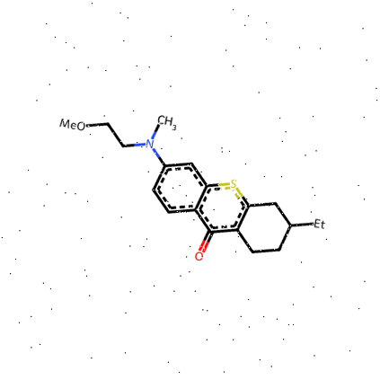 CCC1CCc2c(sc3cc(N(C)CCOC)ccc3c2=O)C1